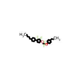 CCCCCC1CCC(c2ccc(OCC(F)(F)Oc3ccc(CCC)cc3)c(F)c2F)CC1